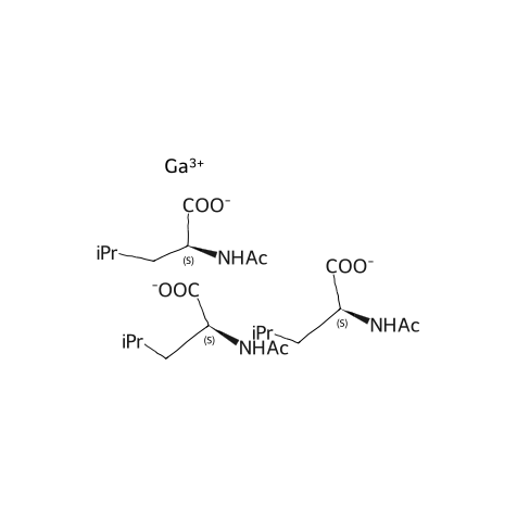 CC(=O)N[C@@H](CC(C)C)C(=O)[O-].CC(=O)N[C@@H](CC(C)C)C(=O)[O-].CC(=O)N[C@@H](CC(C)C)C(=O)[O-].[Ga+3]